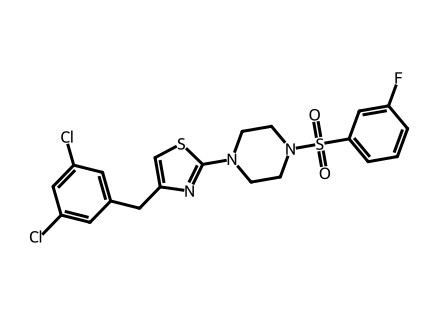 O=S(=O)(c1cccc(F)c1)N1CCN(c2nc(Cc3cc(Cl)cc(Cl)c3)cs2)CC1